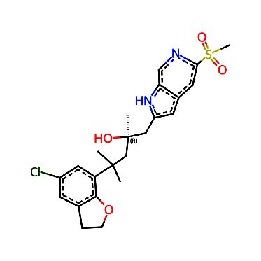 CC(C)(C[C@@](C)(O)Cc1cc2cc(S(C)(=O)=O)ncc2[nH]1)c1cc(Cl)cc2c1OCC2